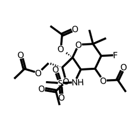 CC(=O)OC[C@@H](OC(C)=O)[C@@]1(OC(C)=O)OC(C)(C)C(F)C(OC(C)=O)C1NS(C)(=O)=O